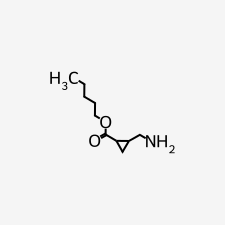 CCCCCOC(=O)C1CC1CN